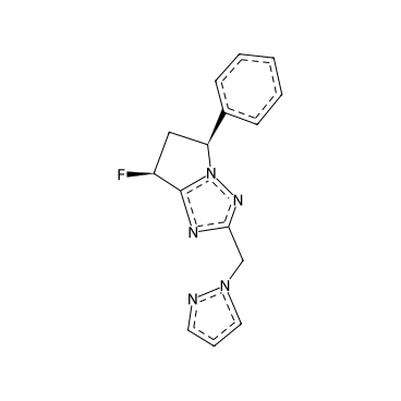 F[C@H]1C[C@@H](c2ccccc2)n2nc(Cn3cccn3)nc21